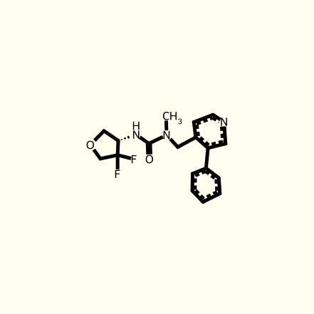 CN(Cc1ccncc1-c1ccccc1)C(=O)N[C@H]1COCC1(F)F